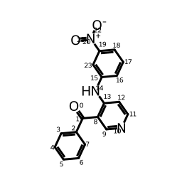 O=C(c1ccccc1)c1cnccc1Nc1cccc([N+](=O)[O-])c1